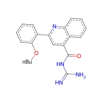 CCCCOc1ccccc1-c1cc(C(=O)NC(=N)N)c2ccccc2n1